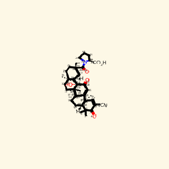 CC1(C)C(=O)C(C#N)=C[C@]2(C)C3=CC(=O)[C@]4(O)[C@@H]5C[C@@](C)(C(=O)N6CCC[C@H]6C(=O)O)CC[C@]5(C)CC[C@@]4(C)[C@]3(C)CC[C@@H]12